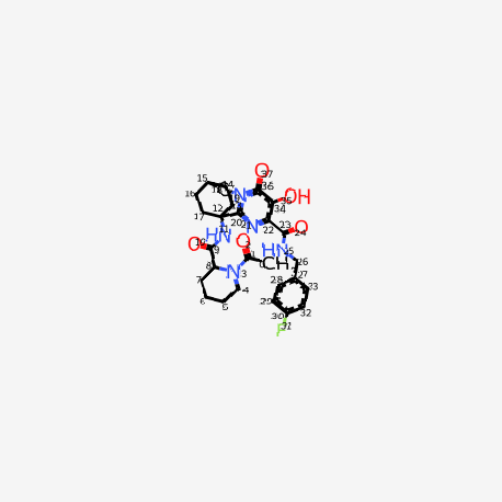 CC(=O)N1CCCCC1C(=O)NC12CCC(CC1)Cn1c2nc(C(=O)NCc2ccc(F)cc2)c(O)c1=O